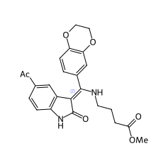 COC(=O)CCCN/C(=C1\C(=O)Nc2ccc(C(C)=O)cc21)c1ccc2c(c1)OCCO2